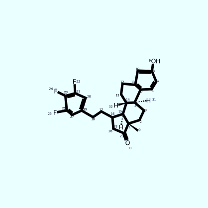 C[C@]12CC[C@@H]3c4ccc(O)cc4CC[C@H]3[C@@H]1C(CCc1cc(F)c(F)c(F)c1)CC2=O